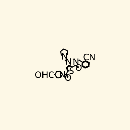 CN(Cc1ccccc1C#N)C(=O)c1sc(C(=O)N2CCC(C=O)CC2)cc1/N=C/N1CCCCC1